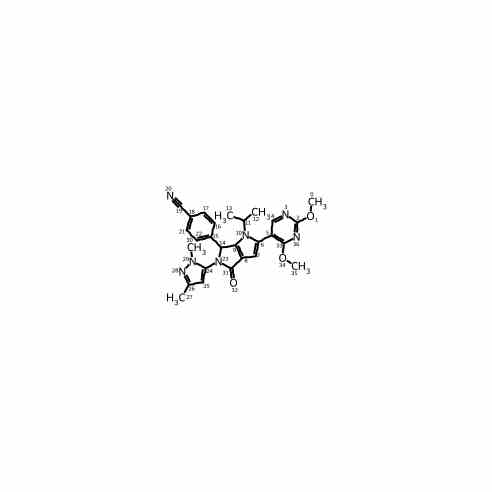 COc1ncc(-c2cc3c(n2C(C)C)C(c2ccc(C#N)cc2)N(c2cc(C)nn2C)C3=O)c(OC)n1